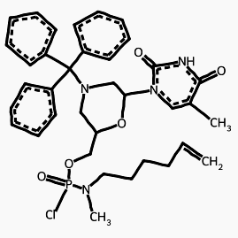 C=CCCCCN(C)P(=O)(Cl)OCC1CN(C(c2ccccc2)(c2ccccc2)c2ccccc2)CC(n2cc(C)c(=O)[nH]c2=O)O1